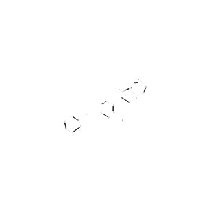 COc1cc(OCc2ccccc2)ccc1-c1cn2ccncc2n1